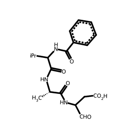 CC(C)C(NC(=O)c1ccccc1)C(=O)N[C@@H](C)C(=O)NC(C=O)CC(=O)O